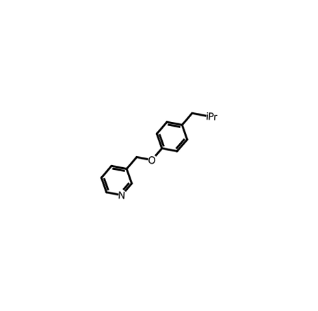 CC(C)Cc1ccc(OCc2cccnc2)cc1